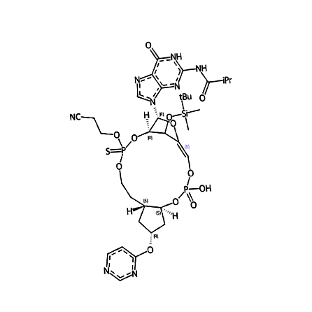 CC(C)C(=O)Nc1nc2c(ncn2[C@@H]2O/C3=C/OP(=O)(O)O[C@H]4C[C@H](Oc5ccncn5)C[C@@H]4CCOP(=S)(OCCC#N)O[C@@H]2C3O[Si](C)(C)C(C)(C)C)c(=O)[nH]1